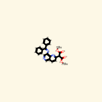 CC(C)(C)OC(=O)C(C(=O)OC(C)(C)C)c1ccc2cncc(N=C(c3ccccc3)c3ccccc3)c2n1